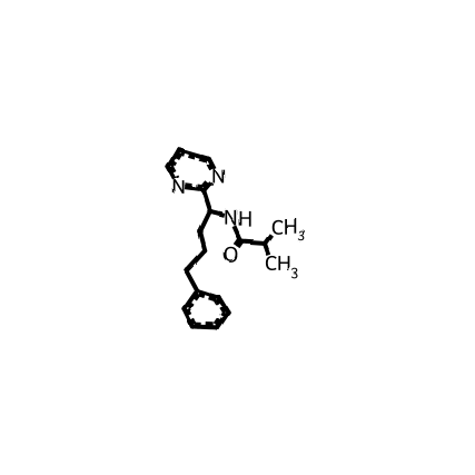 CC(C)C(=O)NC(CCCc1ccccc1)c1ncccn1